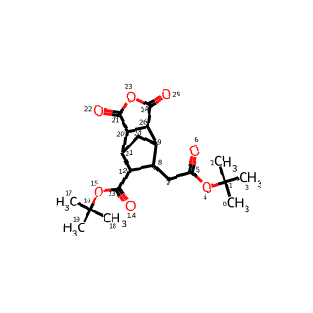 CC(C)(C)OC(=O)CC1C2CC(C1C(=O)OC(C)(C)C)C1C(=O)OC(=O)C21